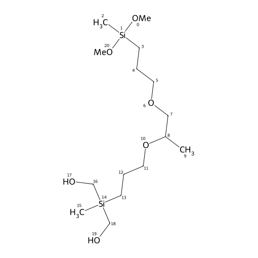 CO[Si](C)(CCCOCC(C)OCCC[Si](C)(CO)CO)OC